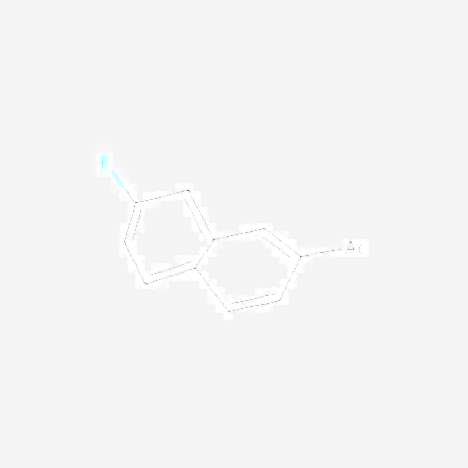 CC(=O)c1ccc2ccc(F)cc2c1